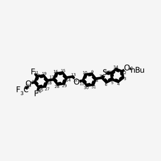 CCCCOc1ccc2cc(-c3ccc(OCc4ccc(-c5cc(F)c(OC(F)(F)F)c(F)c5)cc4)cc3)sc2c1